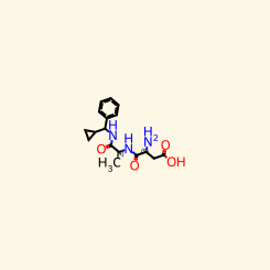 C[C@@H](NC(=O)[C@@H](N)CC(=O)O)C(=O)NC(c1ccccc1)C1CC1